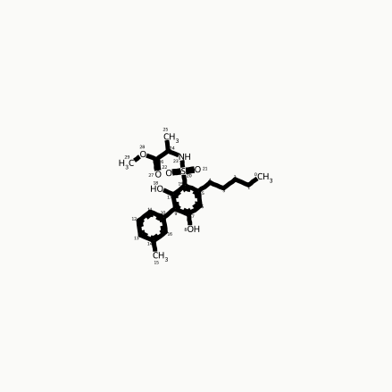 CCCCCc1cc(O)c(-c2cccc(C)c2)c(O)c1S(=O)(=O)NC(C)C(=O)OC